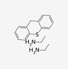 CCN.CCN.c1ccc2c(c1)Cc1ccccc1S2